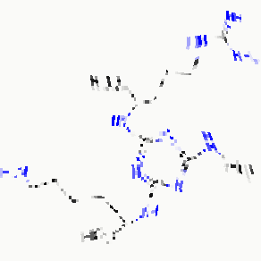 CCCCCCCNc1nc(NC(CCCCN)C(=O)O)nc(NC(CCCNC(=N)N)C(=O)O)n1